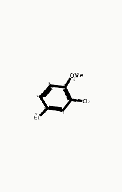 CCc1ccc(OC)c(Cl)c1